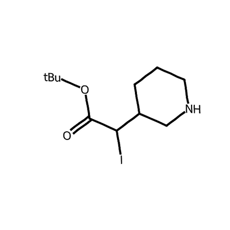 CC(C)(C)OC(=O)C(I)C1CCCNC1